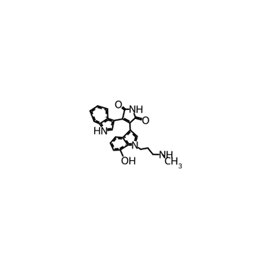 CNCCCn1cc(C2=C(c3c[nH]c4ccccc34)C(=O)NC2=O)c2cccc(O)c21